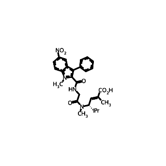 C/C(=C\[C@H](C(C)C)N(C)C(=O)CNC(=O)c1c(-c2ccccc2)c2cc([N+](=O)[O-])ccc2n1C)C(=O)O